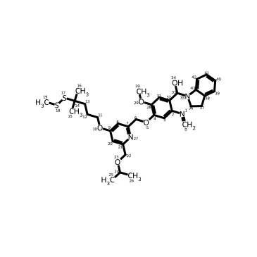 C=Nc1cc(OCc2cc(OCCCC(C)(C)SSC)cc(COC(C)C)n2)c(OC)cc1C(O)N1CCc2ccccc21